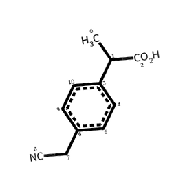 CC(C(=O)O)c1ccc(CC#N)cc1